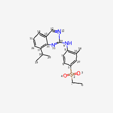 CCS(=O)(=O)c1ccc(Nc2ncc3cccc(C(C)C)c3n2)c(C)c1